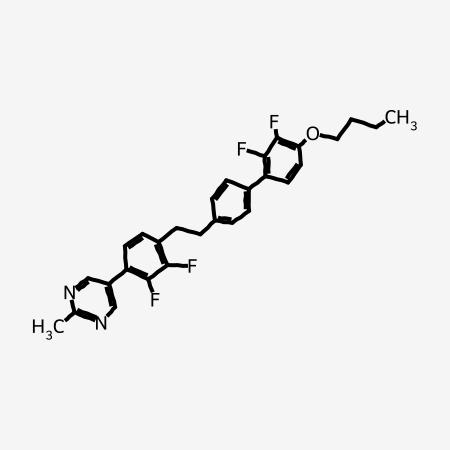 CCCCOc1ccc(-c2ccc(CCc3ccc(-c4cnc(C)nc4)c(F)c3F)cc2)c(F)c1F